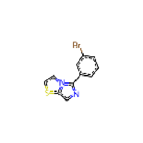 Brc1cccc(-c2ncc3sccn23)c1